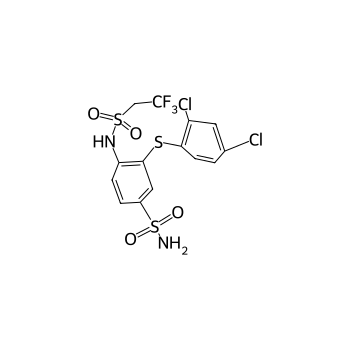 NS(=O)(=O)c1ccc(NS(=O)(=O)CC(F)(F)F)c(Sc2ccc(Cl)cc2Cl)c1